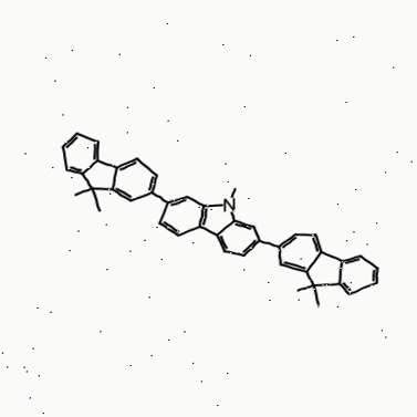 Cn1c2cc(-c3ccc4c(c3)C(C)(C)c3ccccc3-4)ccc2c2ccc(-c3ccc4c(c3)C(C)(C)c3ccccc3-4)cc21